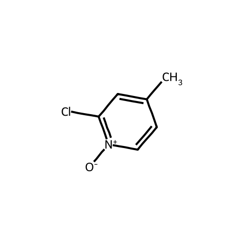 Cc1cc[n+]([O-])c(Cl)c1